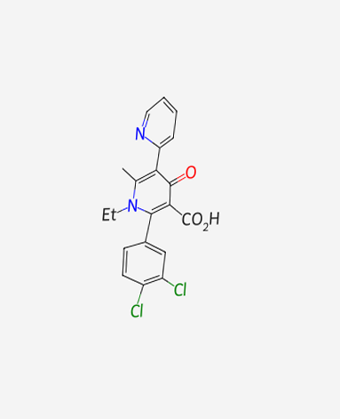 CCn1c(C)c(-c2ccccn2)c(=O)c(C(=O)O)c1-c1ccc(Cl)c(Cl)c1